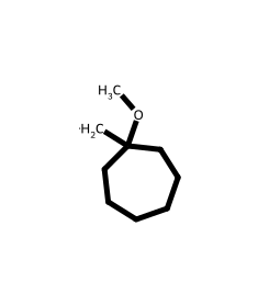 [CH2]C1(OC)CCCCCC1